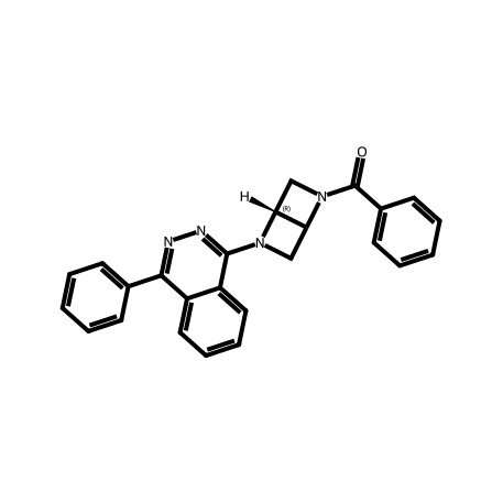 O=C(c1ccccc1)N1C[C@@H]2C1CN2c1nnc(-c2ccccc2)c2ccccc12